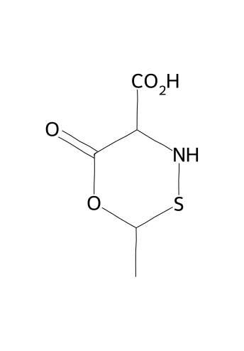 CC1OC(=O)C(C(=O)O)NS1